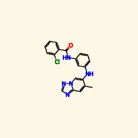 Cc1cc2ncnn2cc1Nc1cccc(NC(=O)c2ccccc2Cl)c1